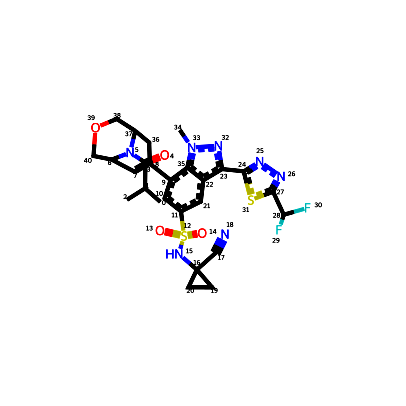 CC(C)C(=O)N1C2C=C(c3cc(S(=O)(=O)NC4(C#N)CC4)cc4c(-c5nnc(C(F)F)s5)nn(C)c34)CC1COC2